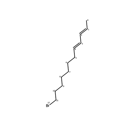 C/C=C/C=C/CCCCCCCBr